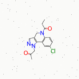 CCC(=O)N1Cc2cnn(CC(C)=O)c2-c2cc(Cl)ccc21